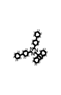 C1=CC2(c3nc(-c4ccc(-c5ccccc5)cc4)nc(-c4ccc(-c5ccccc5)cc4)n3)c3ccccc3C1c1ccccc12